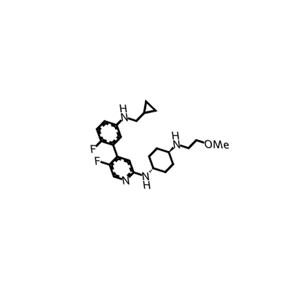 COCCN[C@H]1CC[C@H](Nc2cc(-c3cc(NCC4CC4)ccc3F)c(F)cn2)CC1